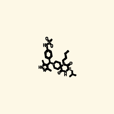 CCCCN1C(=O)[C@H](CC(C)C)NC(=O)C12CCN(C(c1ccc(NS(C)(=O)=O)cc1)c1c(C)n[nH]c1C)CC2